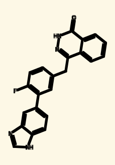 O=c1[nH]nc(Cc2ccc(F)c(-c3ccc4[nH]cnc4c3)c2)c2ccccc12